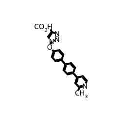 Cc1cc(-c2ccc(-c3ccc(On4cc(C(=O)O)nn4)cc3)cc2)ccn1